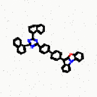 c1ccc2c(-c3nc(-c4ccc(-c5ccc(-c6c7ccccc7n7c6oc6ccccc67)cc5)cc4)nc(-c4cccc5ccccc45)n3)cccc2c1